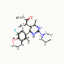 CCCC(C(=O)OC)c1c(C)nc(N2CCCCC2)nc1-c1cc(F)c2c(c1C)CCCO2